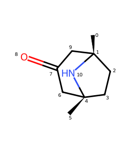 C[C@]12CC[C@](C)(CC(=O)C1)N2